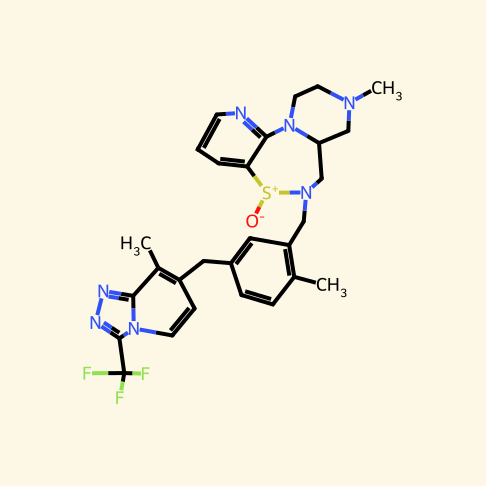 Cc1ccc(Cc2ccn3c(C(F)(F)F)nnc3c2C)cc1CN1CC2CN(C)CCN2c2ncccc2[S+]1[O-]